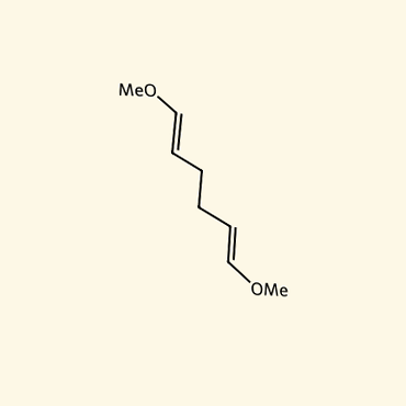 CO/C=C/CC/C=C/OC